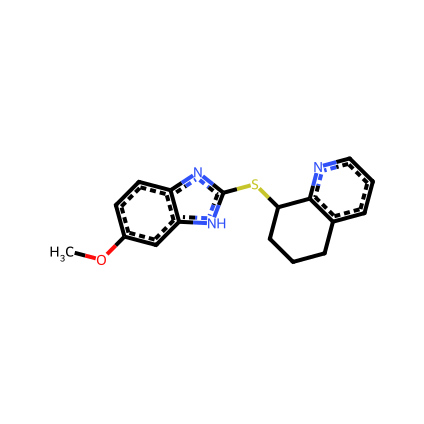 COc1ccc2nc(SC3CCCc4cccnc43)[nH]c2c1